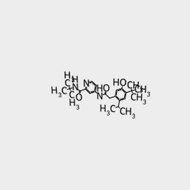 CC(C)c1cc(C(C)(C)C)c(O)cc1CC(=O)Nc1ccnc(C(=O)NC(C)(C)C)c1